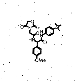 COc1ccc(C(NC(=O)CN2C(=O)COC2=O)C(=O)Nc2ccc([Si](C)(C)C)cc2)cc1